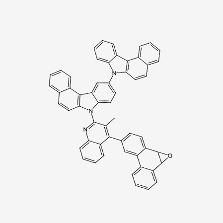 Cc1c(-n2c3ccc(-n4c5ccccc5c5c6ccccc6ccc54)cc3c3c4ccccc4ccc32)nc2ccccc2c1-c1ccc2c(c1)-c1ccccc1C1OC21